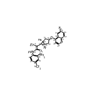 CCC(C(=O)Nc1ccc(C(F)(F)F)cc1N)C1[C@H]2CC(Oc3ccnc4ccc(F)cc34)C[C@@H]12